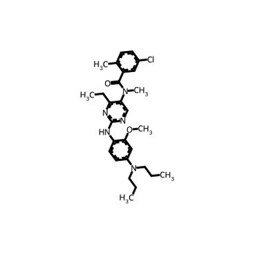 CCCN(CCC)c1ccc(Nc2ncc(N(C)C(=O)c3cc(Cl)ccc3C)c(CC)n2)c(OC)c1